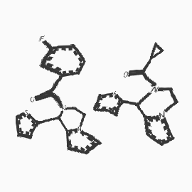 O=C(C1CC1)N1CCn2cccc2C1c1cccs1.O=C(c1cccc(F)c1)N1CCn2cccc2C1c1cccs1